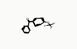 O=C(c1[c]cccc1)c1ccc(OC(F)(F)F)cc1